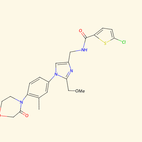 COCc1nc(CNC(=O)c2ccc(Cl)s2)cn1-c1ccc(N2CCOCC2=O)c(C)c1